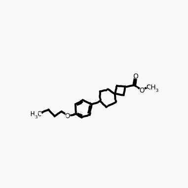 CCCCOc1ccc(C2CCC3(CC2)CC(C(=O)OC)C3)cc1